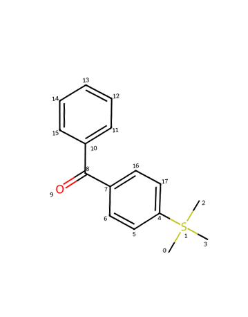 CS(C)(C)c1ccc(C(=O)c2ccccc2)cc1